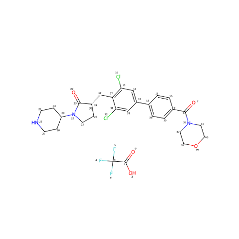 O=C(O)C(F)(F)F.O=C(c1ccc(-c2cc(Cl)c(C[C@@H]3CCN(C4CCNCC4)C3=O)c(Cl)c2)cc1)N1CCOCC1